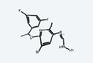 CCCN/C=N\c1cc(Br)c(OC(C)c2cc(F)cc(F)c2)nc1C